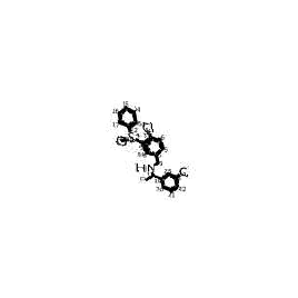 CC(NCc1ccc(Cl)c([S+]([O-])c2ccccc2)c1)c1cccc(Cl)c1